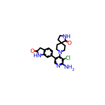 Nc1ncc(-c2ccc3c(c2)NC(=O)C3)c(N2CCC3(CCNC3=O)CC2)c1Cl